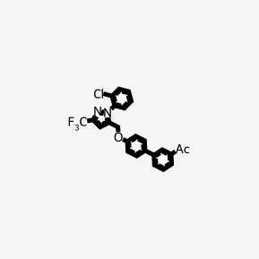 CC(=O)c1cccc(-c2ccc(OCc3cc(C(F)(F)F)nn3-c3ccccc3Cl)cc2)c1